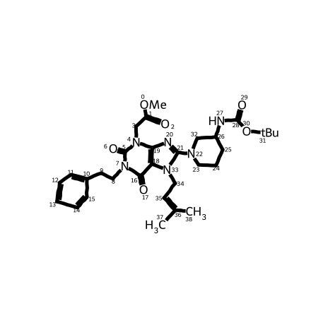 COC(=O)Cn1c(=O)n(CCc2ccccc2)c(=O)c2c1nc(N1CCCC(NC(=O)OC(C)(C)C)C1)n2CC=C(C)C